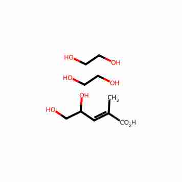 CC(=CC(O)CO)C(=O)O.OCCO.OCCO